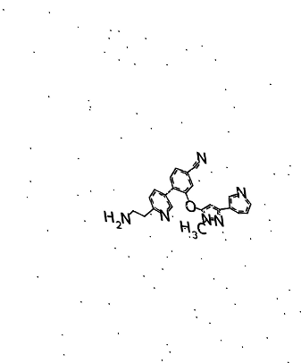 Cn1nc(-c2cccnc2)cc1Oc1cc(C#N)ccc1-c1ccc(CCN)nc1